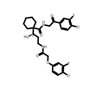 O=C(COc1ccc(Cl)c(F)c1)NCC[C@@H](O)C1(C(=O)NCC(=O)c2ccc(Cl)c(F)c2)CCCCC1